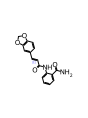 NC(=O)c1ccccc1NC(=O)/C=C/c1ccc2c(c1)OCO2